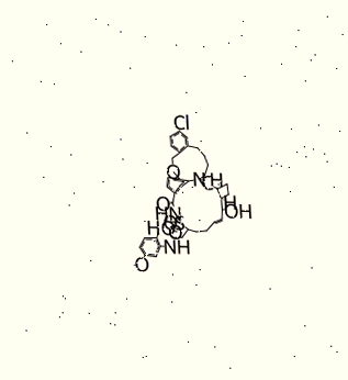 COc1ccc(C)c(NC(O)CC2CC/C=C/[C@H](O)[C@@H]3CC[C@H]3CN3CCCCc4cc(Cl)ccc4COc4ccc(cc43)C(=O)NS2(=O)=O)c1